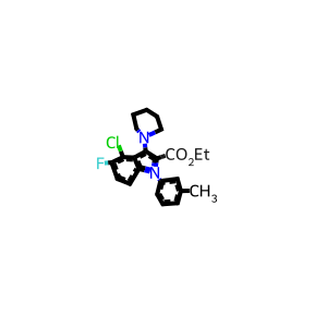 CCOC(=O)c1c(N2CCCCC2)c2c(Cl)c(F)ccc2n1-c1cccc(C)c1